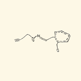 C#CCON=[C]c1ccccc1Cl